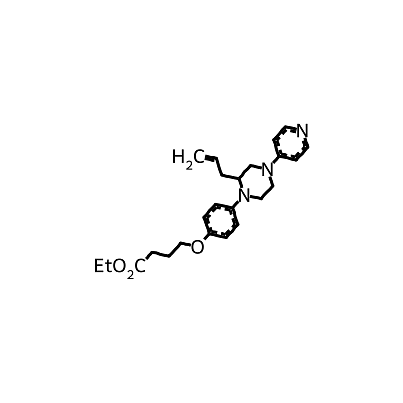 C=CCC1CN(c2ccncc2)CCN1c1ccc(OCCCC(=O)OCC)cc1